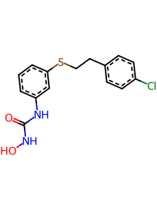 O=C(NO)Nc1cccc(SCCc2ccc(Cl)cc2)c1